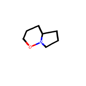 [CH]1CCC2CCCN2O1